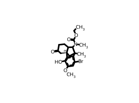 CCOC(=O)N(C)C1C2CCC(=O)C[C@]23CC1(C)c1c(Br)cc(OC)c(O)c13